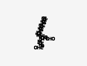 O=COc1ccnc(-c2cc(OC=O)cc(-c3cc(-c4cc5sc(-c6cc7sccc7s6)cc5s4)ccn3)n2)c1